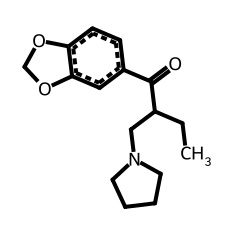 CCC(CN1CCCC1)C(=O)c1ccc2c(c1)OCO2